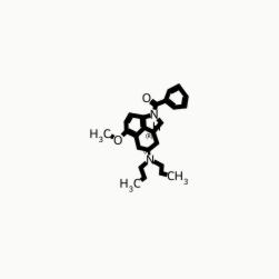 CCCN(CCC)[C@H]1Cc2c(OC)ccc3c2[C@@H](C1)CN3C(=O)c1ccccc1